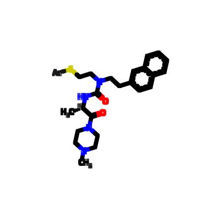 CC(=O)SCCN(CCc1ccc2ccccc2c1)C(=O)N[C@@H](C)C(=O)N1CCN(C)CC1